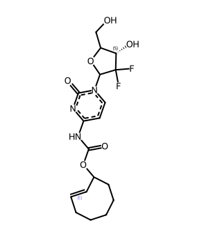 O=C(Nc1ccn(C2OC(CO)[C@H](O)C2(F)F)c(=O)n1)OC1/C=C/CCCCC1